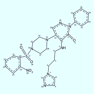 O=c1c(NCCCn2ccnc2)c(N2CCN(S(=O)(=O)c3ccccc3[N+](=O)[O-])CC2)cnn1-c1ccccc1